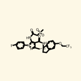 CS(=O)(=O)CC(=O)Nc1c2c(nn1-c1ccc(F)cc1)C[C@]1(CCc3cc(OCC(F)(F)F)ccc31)NC2=O